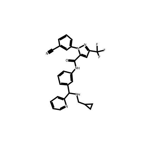 N#Cc1cccc(-n2nc(C(F)(F)F)cc2C(=O)Nc2cccc(C(NCC3CC3)c3ccccn3)c2)c1